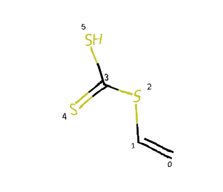 C=CSC(=S)S